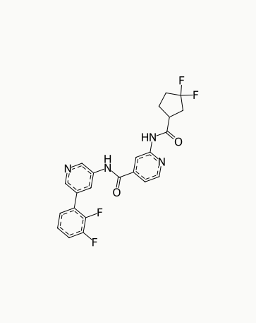 O=C(Nc1cncc(-c2cccc(F)c2F)c1)c1ccnc(NC(=O)C2CCC(F)(F)C2)c1